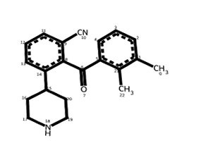 Cc1cccc(C(=O)c2c(C#N)cccc2C2CCNCC2)c1C